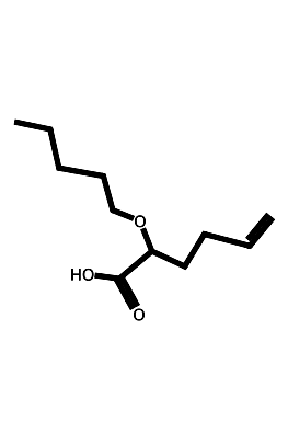 C=CCCC(OCCCCC)C(=O)O